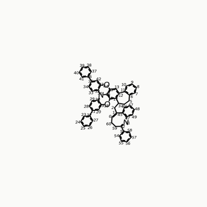 C1=C(/CC2CCc3ccccc3-c3cc4c5c(c32)Oc2cc(-c3ccccc3)ccc2N5c2ccc(-c3ccccc3)cc2O4)c2ccccc2/N=C(/c2ccccc2)CC/1